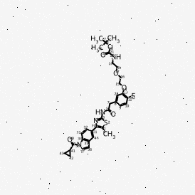 Cc1sc(NC(=O)Cc2ccc(F)c(OCCOCCNC(=O)OC(C)(C)C)c2)nc1-c1ccc2c(ccn2C(=O)C2CC2)c1